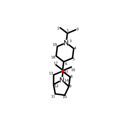 CC(C)N1CCC(C2CC3CCC(C2)N3C(C)C)CC1